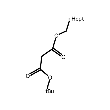 CCCCCCCCOC(=O)CC(=O)OC(C)(C)C